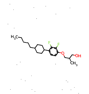 CCCCCC1CCC(c2ccc(OCC(C)CO)c(F)c2F)CC1